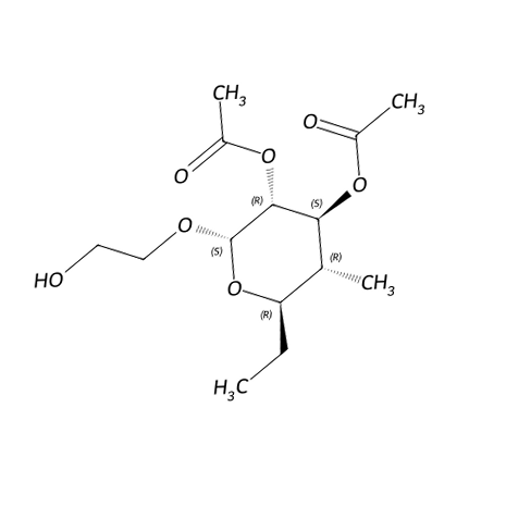 CC[C@H]1O[C@H](OCCO)[C@H](OC(C)=O)[C@@H](OC(C)=O)[C@@H]1C